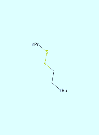 CCCSSCCC(C)(C)C